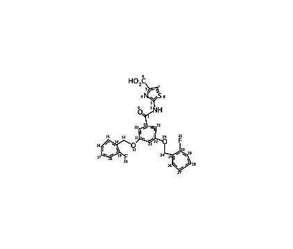 O=C(Nc1nc(C(=O)O)cs1)c1cc(OCc2ccccc2F)cc(OCc2ccccc2F)c1